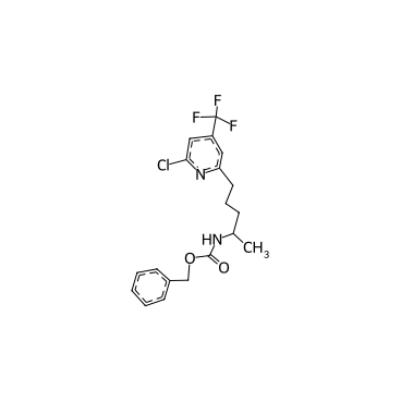 CC(CCCc1cc(C(F)(F)F)cc(Cl)n1)NC(=O)OCc1ccccc1